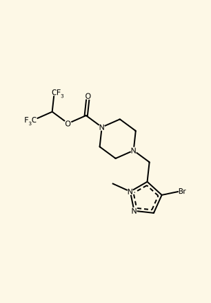 Cn1ncc(Br)c1CN1CCN(C(=O)OC(C(F)(F)F)C(F)(F)F)CC1